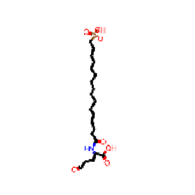 O=CCCC(NC(=O)CCCCCCCCCCCCCCCS(=O)(=O)O)C(=O)O